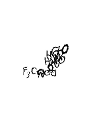 O=C(Nc1ccc(Oc2ccc(C(F)(F)F)cn2)c(Cl)c1)N(O)C(=O)c1ccccc1Cl